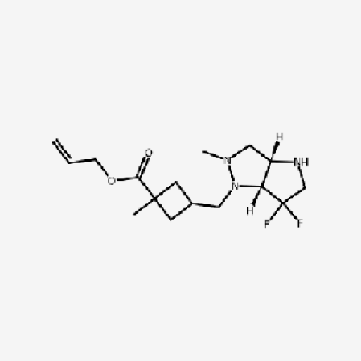 C=CCOC(=O)C1(C)CC(CN2[C@@H]3[C@H](CN2C)NCC3(F)F)C1